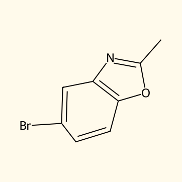 Cc1nc2cc(Br)ccc2o1